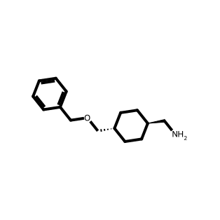 NC[C@H]1CC[C@H](COCc2ccccc2)CC1